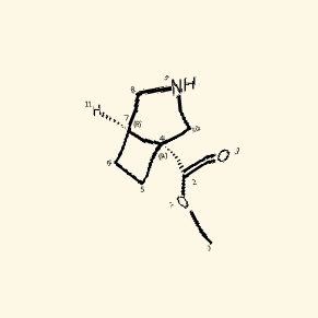 COC(=O)[C@]12CC[C@H]1CNC2